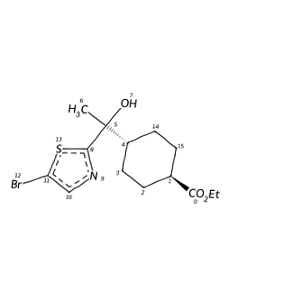 CCOC(=O)[C@H]1CC[C@H](C(C)(O)c2ncc(Br)s2)CC1